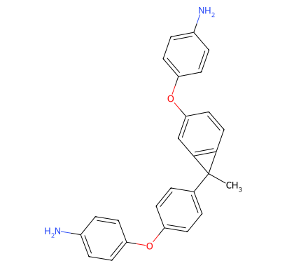 CC1(c2ccc(Oc3ccc(N)cc3)cc2)c2ccc(Oc3ccc(N)cc3)cc21